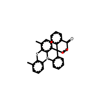 Cc1cccc2c1Sc1c(C)ccc3c1N2c1ccccc1C31c2ccccc2C(=O)c2ccccc21